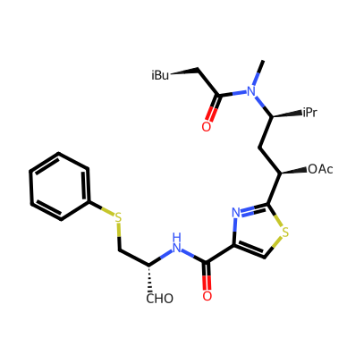 CC[C@H](C)CC(=O)N(C)[C@H](C[C@@H](OC(C)=O)c1nc(C(=O)N[C@H](C=O)CSc2ccccc2)cs1)C(C)C